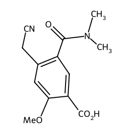 COc1cc(CC#N)c(C(=O)N(C)C)cc1C(=O)O